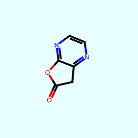 O=C1Cc2nccnc2O1